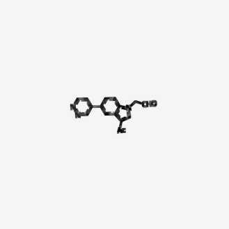 CC(=O)c1cn(CC=O)c2ccc(-c3ccnnc3)cc12